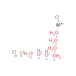 O.O.O.O.O.O.O.[Al+3].[Cl-].[Cl-].[Cl-]